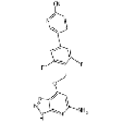 N#Cc1ccc(-c2cc(F)c(COc3cc(N)nc4[nH]nnc34)c(F)c2)cn1